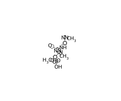 COc1ccc(-c2c(C)nn3c(NCc4cccc(-c5nccn5C)c4)cc(C4CCOCC4)nc23)cc1S(=O)(=O)CCO